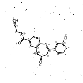 C#CCNC(=O)c1ccc2c(c1)NC(=O)CC(c1ccnc(Cl)c1)=N2